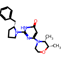 C[C@@H]1OCCN(c2cc(=O)[nH]c(N3CCC[C@@H]3Cc3ccccc3)n2)[C@@H]1C